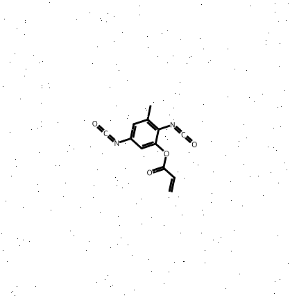 C=CC(=O)Oc1cc(N=C=O)cc(C)c1N=C=O